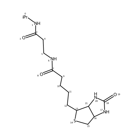 CC(C)NC(=O)CCNC(=O)CCCCC1SCC2NC(=O)NC21